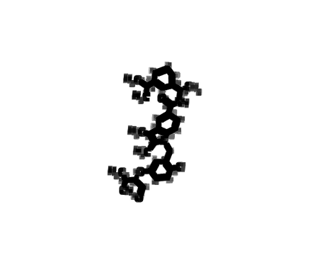 Cc1c(C)n(Cc2cc(O[C@H](C=O)C(C)C)ccc2Cl)c2ccc(C(=O)N[C@@H](C)c3cccc(C(C)C)c3)cc12